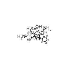 CCC(=O)[C@H](CCN)NC(=O)[C@@H](NC(=O)C(CCN)c1ccccc1Cl)C(C)O